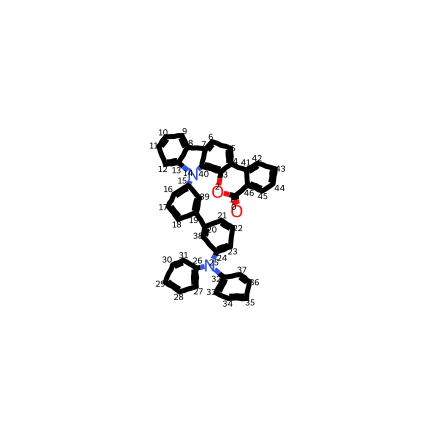 O=c1oc2c(ccc3c4ccccc4n(-c4cccc(-c5cccc(N(c6ccccc6)c6ccccc6)c5)c4)c32)c2ccccc12